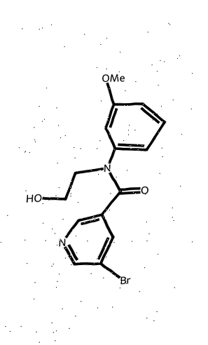 COc1cccc(N(CCO)C(=O)c2cncc(Br)c2)c1